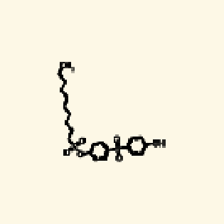 CCCCCCCCCCS(=O)(=O)Oc1ccc(S(=O)(=O)c2ccc(O)cc2)cc1